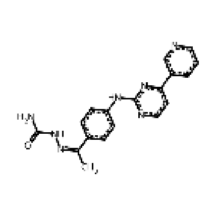 C/C(=N/NC(N)=O)c1ccc(Nc2nccc(-c3cccnc3)n2)cc1